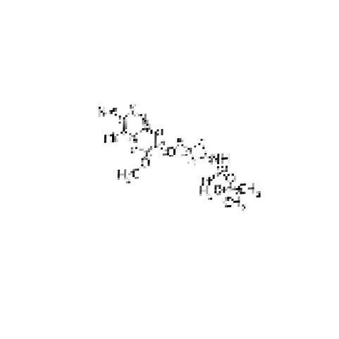 COc1cc2c(Cl)c(C#N)cnc2cc1OCC1CC(NC(=O)OC(C)(C)C)C1